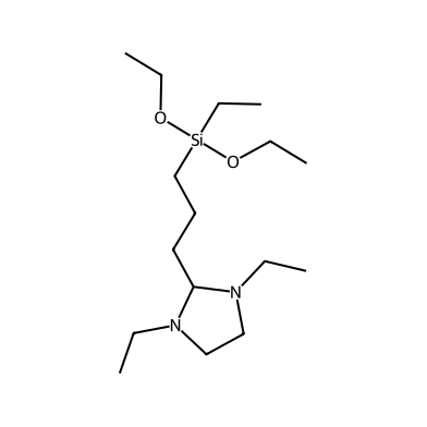 CCO[Si](CC)(CCCC1N(CC)CCN1CC)OCC